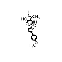 COc1ccc(-c2ccc(S(=O)(=O)NC(C(=O)O)C(C)C)s2)cc1